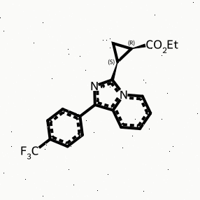 CCOC(=O)[C@@H]1C[C@@H]1c1nc(-c2ccc(C(F)(F)F)cc2)c2ccccn12